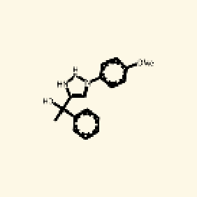 COc1ccc(N2C=C(C(C)(O)c3ccccc3)NN2)cc1